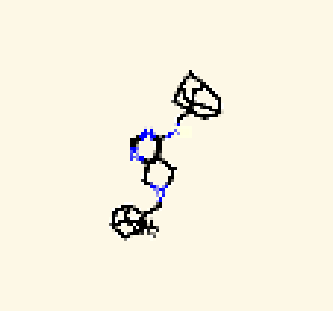 CC1(C)C2CC=C(CN3CCc4c(ncnc4NCC45CC6CC(CC(C6)C4)C5)C3)C1C2